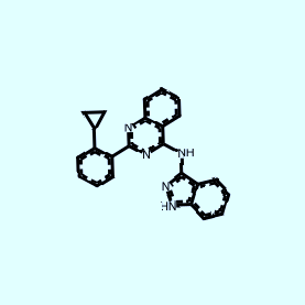 c1ccc(C2CC2)c(-c2nc(Nc3n[nH]c4ccccc34)c3ccccc3n2)c1